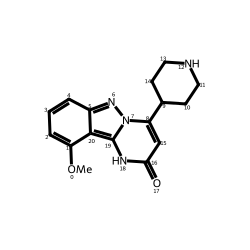 COc1cccc2nn3c(C4CCNCC4)cc(=O)[nH]c3c12